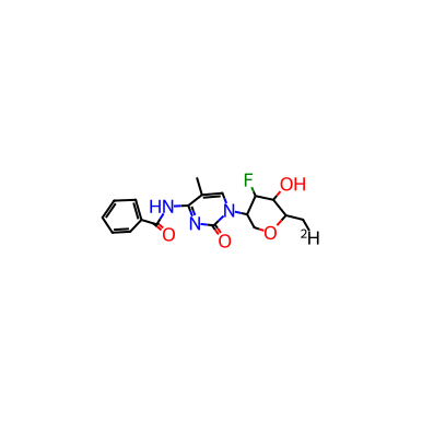 [2H]CC1OCC(n2cc(C)c(NC(=O)c3ccccc3)nc2=O)C(F)C1O